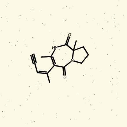 C#C/C=C(/C)C1=C(C)NC(=O)C2(C)CCCN2C1=O